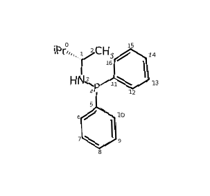 CC(C)[C@H](C)NP(c1ccccc1)c1ccccc1